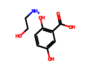 NCCO.O=C(O)c1cc(O)ccc1O